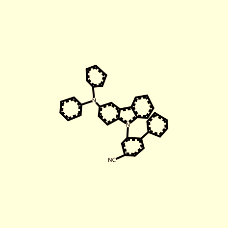 N#Cc1ccc(-c2ccccc2)c(-n2c3ccccc3c3cc(N(c4ccccc4)c4ccccc4)ccc32)c1